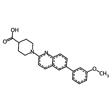 COc1cccc(-c2ccc3nc(N4CCC(C(=O)O)CC4)ccc3c2)c1